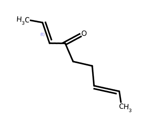 CC=CCCC(=O)/C=C/C